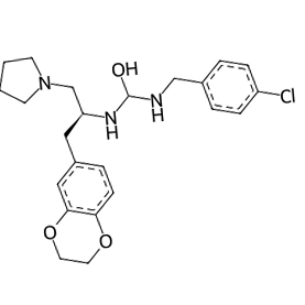 OC(NCc1ccc(Cl)cc1)N[C@@H](Cc1ccc2c(c1)OCCO2)CN1CCCC1